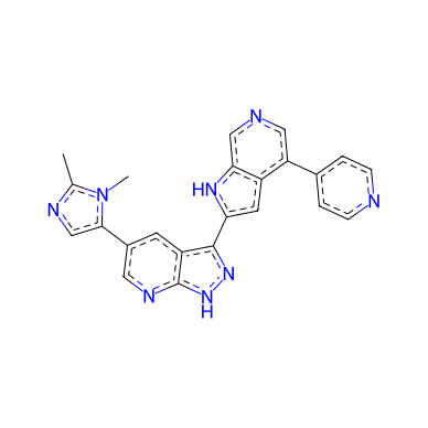 Cc1ncc(-c2cnc3[nH]nc(-c4cc5c(-c6ccncc6)cncc5[nH]4)c3c2)n1C